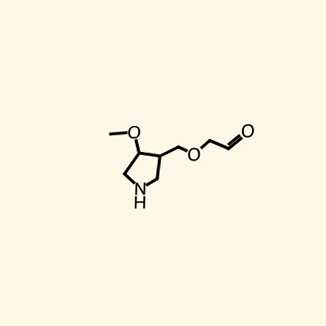 COC1CNCC1COCC=O